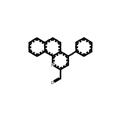 O=Cc1cc(-c2ccccc2)c2ccc3ccccc3c2n1